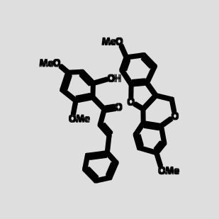 COc1cc(O)c(C(=O)C=Cc2ccccc2)c(OC)c1.COc1ccc2c(c1)OC1c3ccc(OC)cc3OCC21